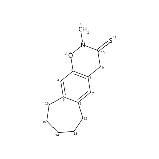 CN1Oc2cc3c(cc2CC1=S)CCCCC3